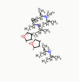 C1CCOC1.C1CCOC1.C[SiH](C)[N-][SiH](C)C.C[SiH](C)[N-][SiH](C)C.C[SiH](C)[N-][SiH](C)C.[Gd+3]